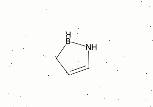 B1CC=CN1